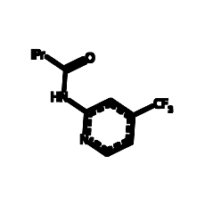 CC(C)C(=O)Nc1cc(C(F)(F)F)ccn1